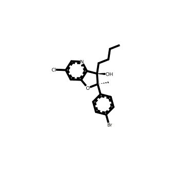 CCCC[C@@]1(O)c2ncc(Cl)cc2O[C@]1(C)c1ccc(Br)cc1